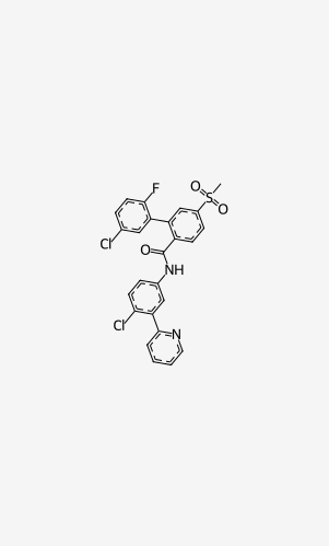 CS(=O)(=O)c1ccc(C(=O)Nc2ccc(Cl)c(-c3ccccn3)c2)c(-c2cc(Cl)ccc2F)c1